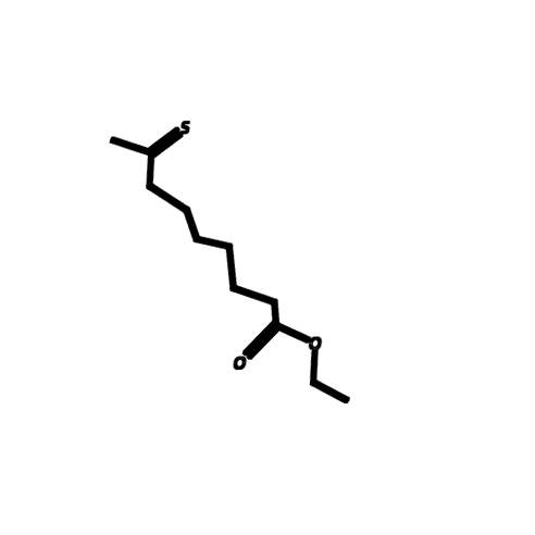 CCOC(=O)CCCCCCC(C)=S